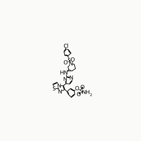 NS(=O)(=O)Oc1cccc(-c2nc3sccn3c2-c2ccnc(N[C@@H]3CCCN(S(=O)(=O)c4ccc(Cl)cc4)C3)n2)c1